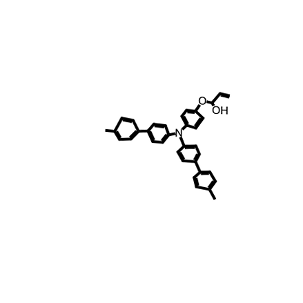 C=CC(O)Oc1ccc(N(c2ccc(-c3ccc(C)cc3)cc2)c2ccc(-c3ccc(C)cc3)cc2)cc1